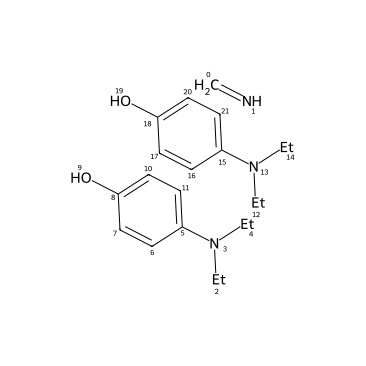 C=N.CCN(CC)c1ccc(O)cc1.CCN(CC)c1ccc(O)cc1